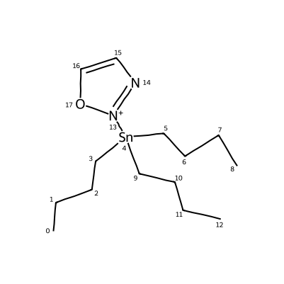 CCC[CH2][Sn]([CH2]CCC)([CH2]CCC)[n+]1ncco1